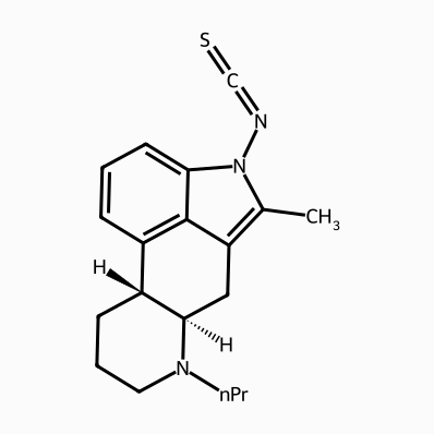 CCCN1CCC[C@@H]2c3cccc4c3c(c(C)n4N=C=S)C[C@H]21